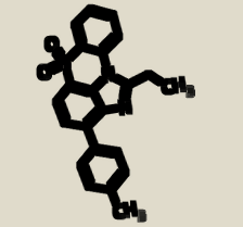 CCc1nc2c(-c3ccc(C)cc3)ccc3c2n1-c1ccccc1S3(=O)=O